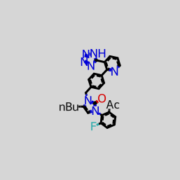 CCCCc1cn(-c2c(F)cccc2C(C)=O)c(=O)n1Cc1ccc(-c2ncccc2-c2nnn[nH]2)cc1